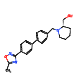 Cc1nc(-c2ccc(-c3ccc(CN4CCCC[C@H]4CO)cc3)cc2)no1